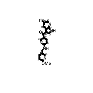 COc1ccc(CNc2ccc(C(=O)c3c[nH]c4ncc(Cl)cc34)cn2)cn1